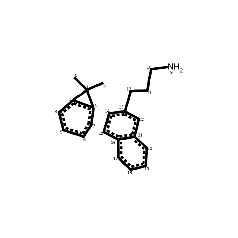 CC1(C)c2ccccc21.NCCCc1ccc2ccccc2c1